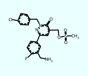 CS(=O)(=O)OCc1cc(-c2ccc(F)c(CN)c2)nn(Cc2ccc(Cl)cc2)c1=O